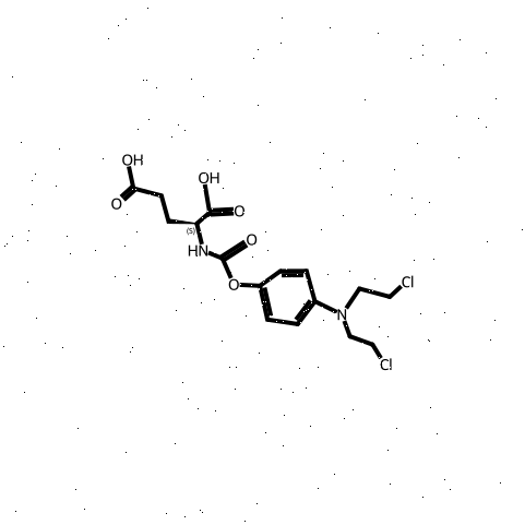 O=C(O)CC[C@H](NC(=O)Oc1ccc(N(CCCl)CCCl)cc1)C(=O)O